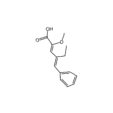 CCC(/C=C(\OC)C(=O)O)=C\c1ccccc1